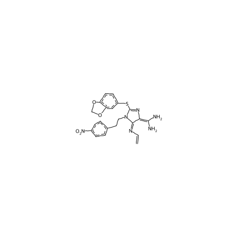 C=C/N=C1\C(=C(N)N)N=C(Sc2ccc3c(c2)OCO3)N1CCc1ccc([N+](=O)[O-])cc1